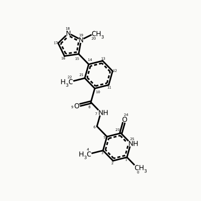 Cc1cc(C)c(CNC(=O)c2cccc(-c3ccnn3C)c2C)c(=O)[nH]1